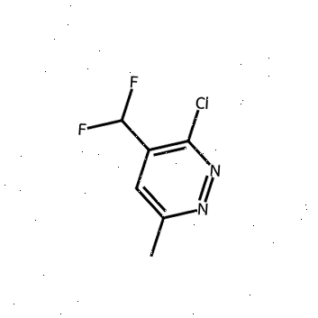 Cc1cc(C(F)F)c(Cl)nn1